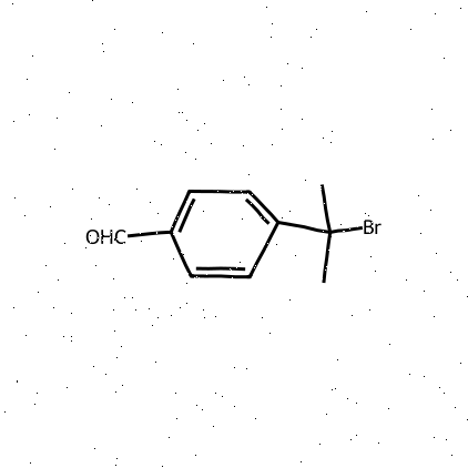 CC(C)(Br)c1ccc(C=O)cc1